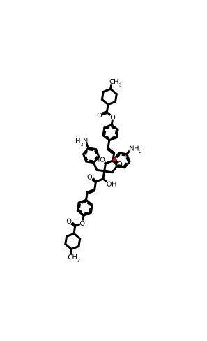 CC1CCC(C(=O)Oc2ccc(/C=C/C(=O)C(O)C(Cc3ccc(N)cc3)(Cc3ccc(N)cc3)C(O)C(=O)/C=C/c3ccc(OC(=O)C4CCC(C)CC4)cc3)cc2)CC1